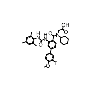 COc1ccc(-c2ccc(C(=O)N(CC(=O)O)C3CCCCC3)c(NC(=O)Nc3c(C)cc(C)cc3C)c2)cc1F